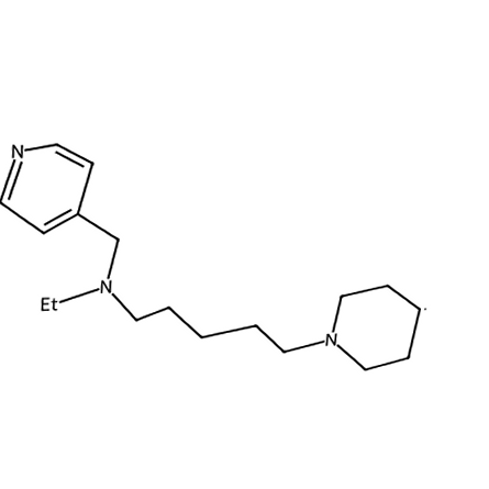 CCN(CCCCCN1CC[CH]CC1)Cc1ccncc1